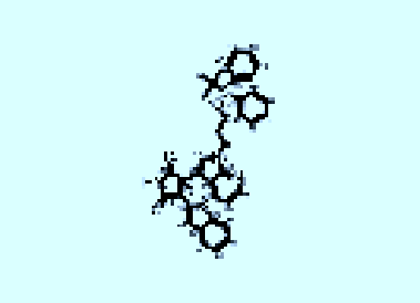 CC(C)(C)[Si](OCCCn1cc(C2=C(c3cc4ccccc4s3)C(=O)NC2=O)c2cccnc21)(c1ccccc1)c1ccccc1